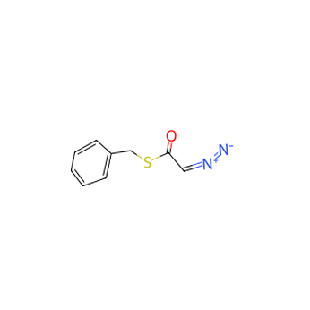 [N-]=[N+]=CC(=O)SCc1ccccc1